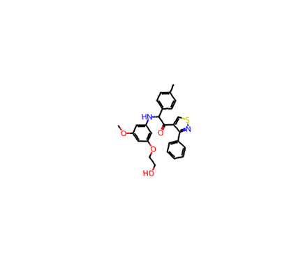 COc1cc(NC(C(=O)c2csnc2-c2ccccc2)c2ccc(C)cc2)cc(OCCO)c1